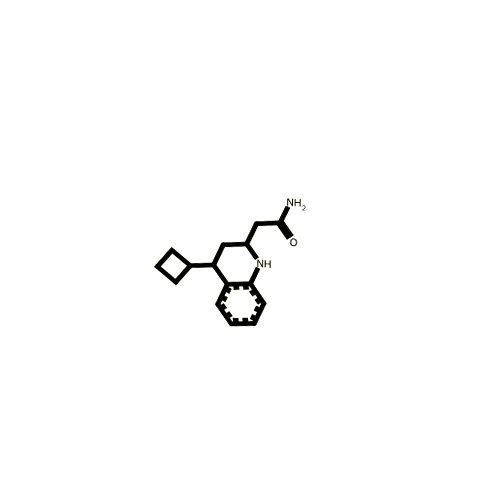 NC(=O)CC1CC(C2CCC2)c2ccccc2N1